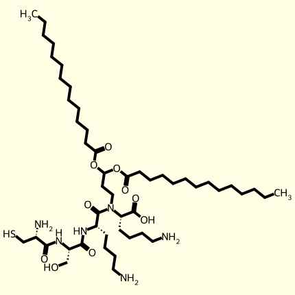 CCCCCCCCCCCCCC(=O)OC(CCN(C(=O)[C@H](CCCCN)NC(=O)[C@H](CO)NC(=O)[C@@H](N)CS)[C@@H](CCCCN)C(=O)O)OC(=O)CCCCCCCCCCCCC